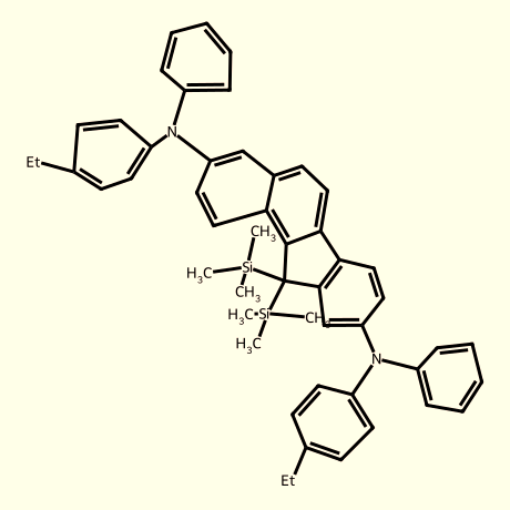 CCc1ccc(N(c2ccccc2)c2ccc3c(c2)C([Si](C)(C)C)([Si](C)(C)C)c2c-3ccc3cc(N(c4ccccc4)c4ccc(CC)cc4)ccc23)cc1